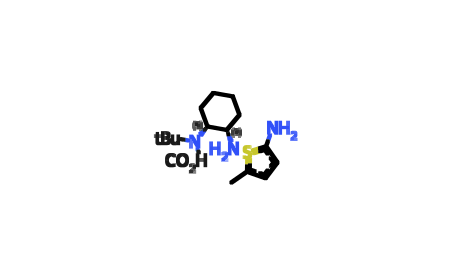 CC(C)(C)N(C(=O)O)[C@H]1CCCC[C@H]1N.Cc1ccc(N)s1